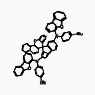 CC(C)(C)c1ccc(N(c2ccc3c(c2)C2(c4ccccc4Oc4c2ccc2ccccc42)c2cc(N(c4ccc(C(C)(C)C)cc4)c4cccc5c4oc4ccccc45)ccc2-3)c2cccc3c2oc2ccccc23)cc1